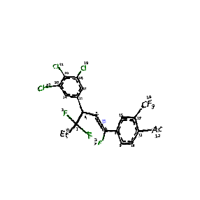 CCC(F)(F)C(/C=C(\F)c1ccc(C(C)=O)c(C(F)(F)F)c1)c1cc(Cl)c(Cl)c(Cl)c1